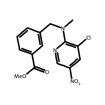 COC(=O)c1cccc(CN(C)c2ncc([N+](=O)[O-])cc2Cl)c1